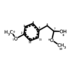 COc1ccc(CC(O)OC)cc1